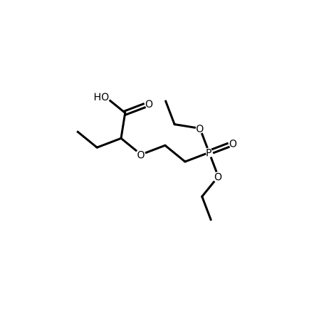 CCOP(=O)(CCOC(CC)C(=O)O)OCC